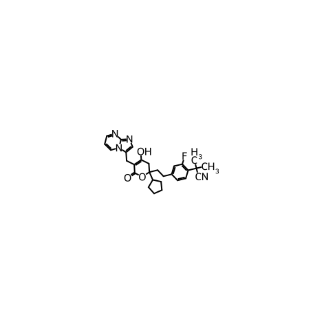 CC(C)(C#N)c1ccc(CCC2(C3CCCC3)CC(O)=C(Cc3cnc4ncccn34)C(=O)O2)cc1F